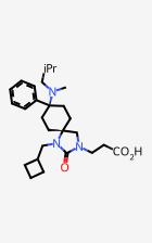 CC(C)CN(C)[C@]1(c2ccccc2)CC[C@@]2(CC1)CN(CCC(=O)O)C(=O)N2CC1CCC1